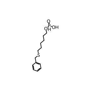 O=[PH](O)OCCCCCCSCc1ccccc1